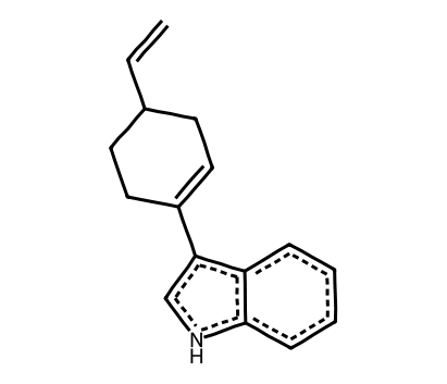 C=CC1CC=C(c2c[nH]c3ccccc23)CC1